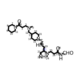 CN(CCC(=O)N1CCCCC1)CC1CCN(SN/C=C(\C=N)N(C)CCC(=O)NC=O)CC1